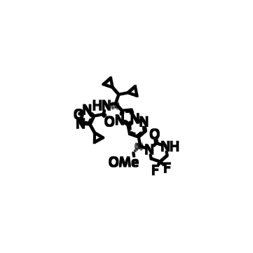 COC[C@H](c1cnn2cc([C@@H](NC(=O)c3nonc3C3CC3)C(C3CC3)C3CC3)nc2c1)N1CC(F)(F)CNC1=O